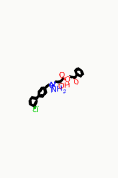 NN(Cc1ccc(-c2cccc(Cl)c2)cc1)C[C@@H](O)C(=O)OCC(=O)c1ccccc1